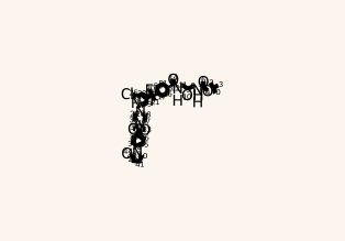 CC(C)(C)OC(=O)NCC(O)CNC(=O)[C@H]1CC[C@H](C(F)(F)c2cc(Cl)nc(N3CCN(S(=O)(=O)c4ccc(N5CCCC5=O)cc4)CC3)c2)CC1